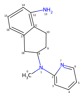 CN(c1ccccn1)C1CCc2c(N)cccc2C1